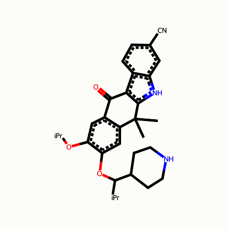 CC(C)Oc1cc2c(cc1OC(C(C)C)C1CCNCC1)C(C)(C)c1[nH]c3cc(C#N)ccc3c1C2=O